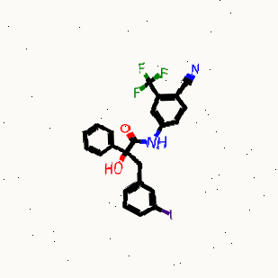 N#Cc1ccc(NC(=O)C(O)(Cc2cccc(I)c2)c2ccccc2)cc1C(F)(F)F